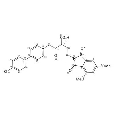 COc1cc(OC)c2c(c1)C(=O)N(CCC(C(=O)O)C(=O)Cc1ccc(-c3ccc(Cl)cc3)cc1)C2=O